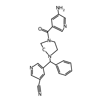 N#Cc1cncc(C(c2ccccc2)N2CCN(C(=O)c3cncc(N)c3)CC2)c1